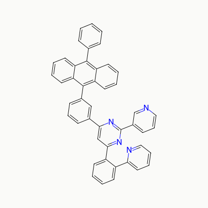 c1ccc(-c2c3ccccc3c(-c3cccc(-c4cc(-c5ccccc5-c5ccccn5)nc(-c5cccnc5)n4)c3)c3ccccc23)cc1